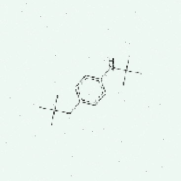 CC(C)(C)Cc1ccc(NC(C)(C)C)cc1